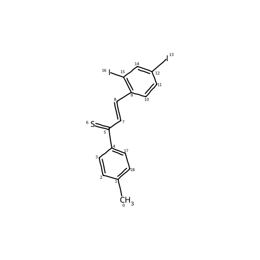 Cc1ccc(C(=S)C=Cc2ccc(I)cc2I)cc1